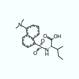 CCC(C)[C@H](NS(=O)(=O)c1cccc2c(N(C)C)cccc12)C(=O)O